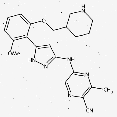 COc1cccc(OCC2CCCNC2)c1-c1cc(Nc2cnc(C#N)c(C)n2)n[nH]1